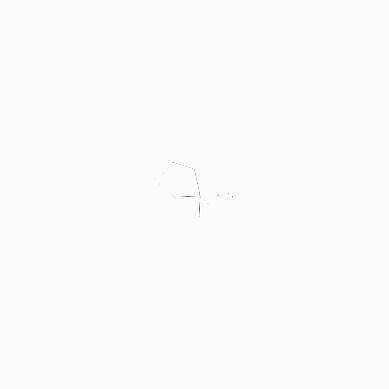 N#C[C@@]1(O)CCSC1